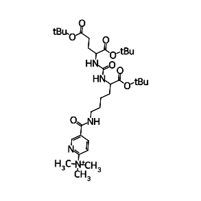 CC(C)(C)OC(=O)CCC(NC(=O)NC(CCCCNC(=O)c1ccc([N+](C)(C)C)nc1)C(=O)OC(C)(C)C)C(=O)OC(C)(C)C